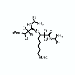 CCCCCC(CC)C(CC)(CC)C(=O)NC(N)CC.CCCCCCCCCCCCCCCC(CC)C(CC)(CC)C(=O)NC(N)CC